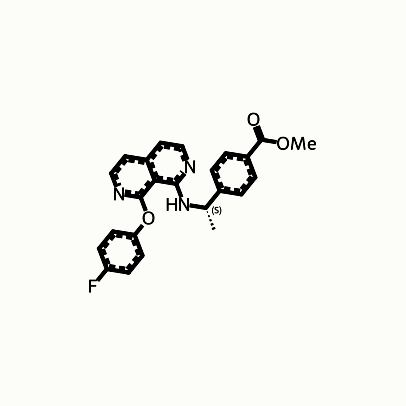 COC(=O)c1ccc([C@H](C)Nc2nccc3ccnc(Oc4ccc(F)cc4)c23)cc1